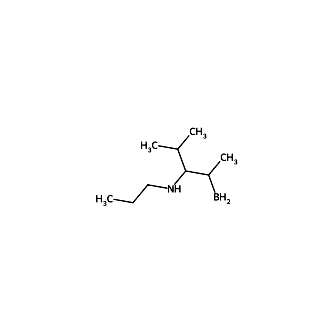 BC(C)C(NCCC)C(C)C